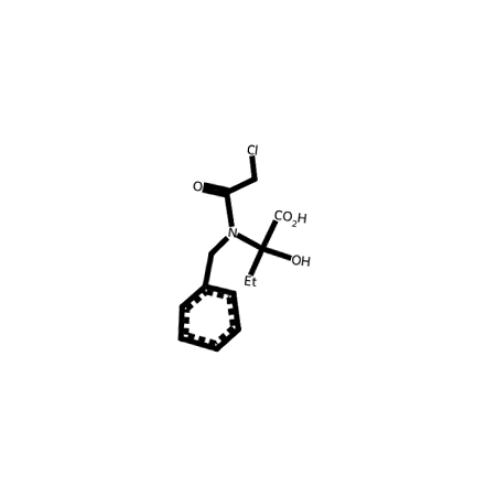 CCC(O)(C(=O)O)N(Cc1ccccc1)C(=O)CCl